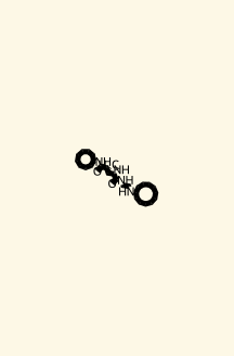 CNC(CCC(=O)NC1CCCCCCCC1)C(=O)NCCNC1CCCCCCCCCC1